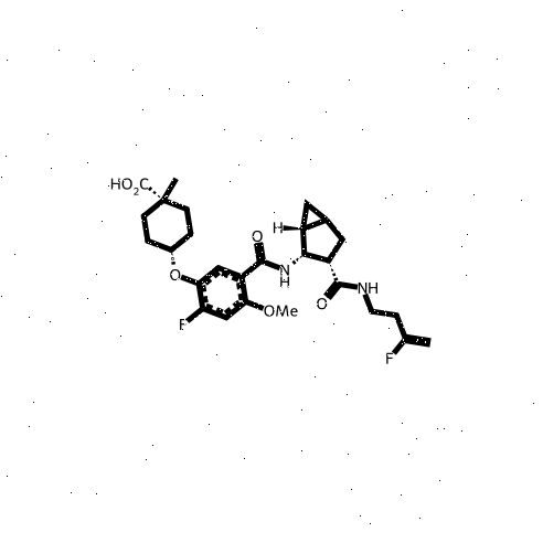 C=C(F)CCNC(=O)[C@H]1CC2C[C@H]2[C@H]1NC(=O)c1cc(O[C@H]2CC[C@@](C)(C(=O)O)CC2)c(F)cc1OC